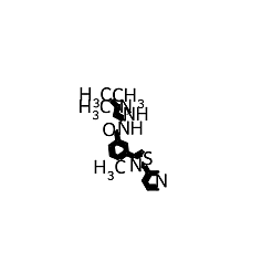 Cc1ccc(C(=O)Nc2cc(C(C)(C)C)n[nH]2)cc1-c1csc(-c2cccnc2)n1